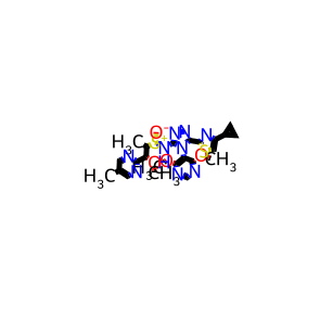 COc1ncnc(OC)c1-n1c(N[S+]([O-])C(C)C(OC)c2ncc(C)cn2)nnc1-c1nc(C2CC2)cs1